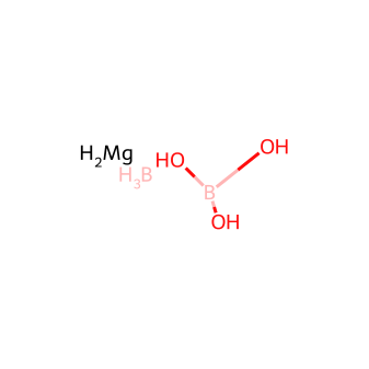 B.OB(O)O.[MgH2]